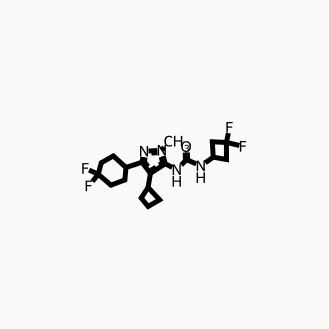 Cn1nc(C2CCC(F)(F)CC2)c(C2CCC2)c1NC(=O)NC1CC(F)(F)C1